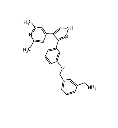 Cc1cc(-c2c[nH]nc2-c2cccc(OCc3cccc(CN)c3)c2)cc(C)n1